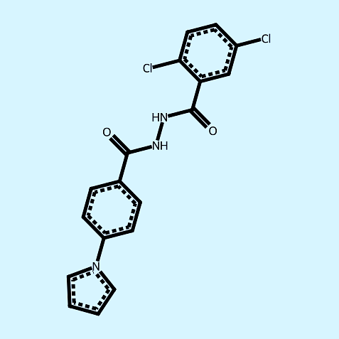 O=C(NNC(=O)c1cc(Cl)ccc1Cl)c1ccc(-n2cccc2)cc1